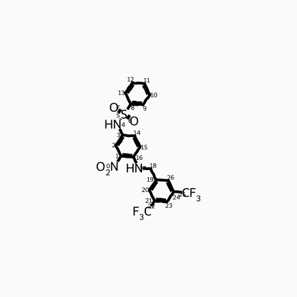 O=[N+]([O-])c1cc(NS(=O)(=O)c2ccccc2)ccc1NCc1cc(C(F)(F)F)cc(C(F)(F)F)c1